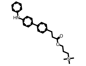 C[Si](C)(C)CCCOC(=O)CCc1ccc(-c2ccc(Nc3ccccc3)cc2)cc1